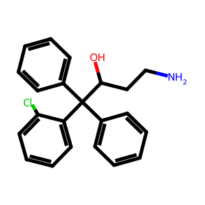 NCCC(O)C(c1ccccc1)(c1ccccc1)c1ccccc1Cl